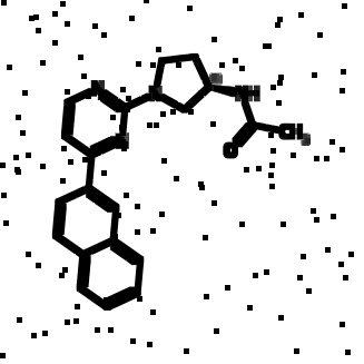 CC(=O)N[C@@H]1CCN(c2nccc(-c3ccc4ccccc4c3)n2)C1